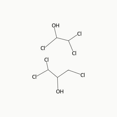 OC(CCl)C(Cl)Cl.OC(Cl)C(Cl)Cl